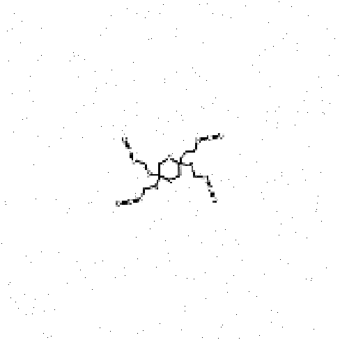 O=C=NCSC1(SCN=C=O)CSC(SCN=C=O)(SCN=C=O)CS1